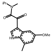 COc1cc(C)c2[nH]cc(C(=O)C(=O)N(C)C(C)C)c2c1